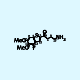 COc1cc2sc(C(=O)CCCN)cc2c(F)c1OC